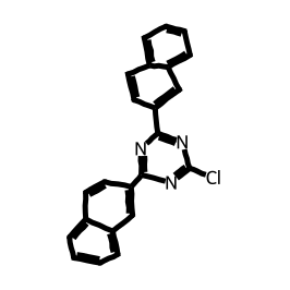 Clc1nc(-c2ccc3ccccc3c2)nc(-c2ccc3ccccc3c2)n1